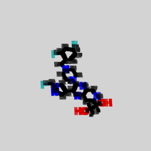 CC(C)(O)[C@@](C)(O)c1cc2nc(-c3cnn(CF)c3)c(N3CCN(Cc4ccc(F)cc4F)CC3)nc2cn1